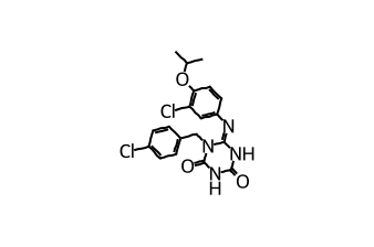 CC(C)Oc1ccc(/N=c2/[nH]c(=O)[nH]c(=O)n2Cc2ccc(Cl)cc2)cc1Cl